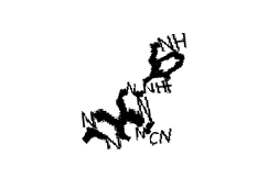 Cc1ncc(-c2cnc(NCc3c(F)ccc4c3CCN4)n3cc(C#N)nc23)c(C)n1